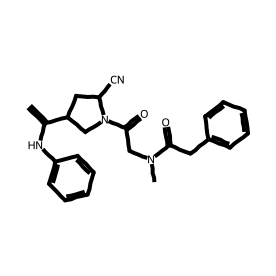 C=C(Nc1ccccc1)C1CC(C#N)N(C(=O)CN(C)C(=O)Cc2ccccc2)C1